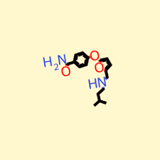 CC(C)CCNCc1ccc(Oc2ccc(C(N)=O)cc2)o1